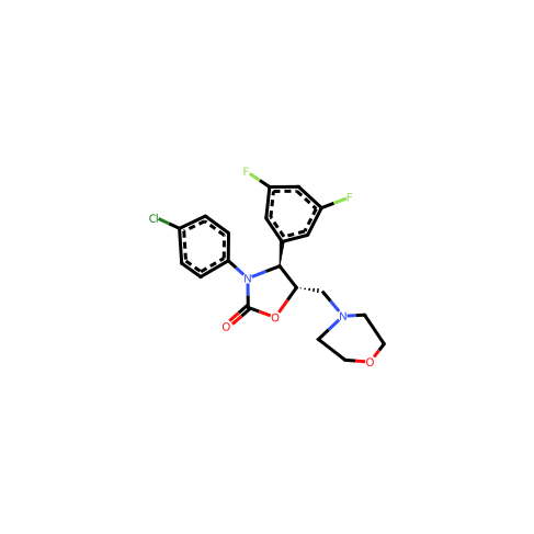 O=C1O[C@@H](CN2CCOCC2)[C@H](c2cc(F)cc(F)c2)N1c1ccc(Cl)cc1